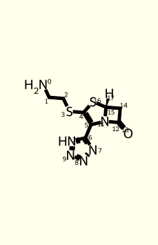 NCCSC1=C(c2nnn[nH]2)N2C(=O)C[C@H]2S1